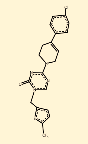 O=c1nc(N2CC=C(c3ccc(Cl)cc3)CC2)ncn1Cc1ccc(C(F)(F)F)s1